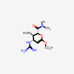 CCCN(C)C(=O)[C@@H]1OC(OC(=O)O)=C[C@H](NC(=N)N)[C@H]1NC(C)=O